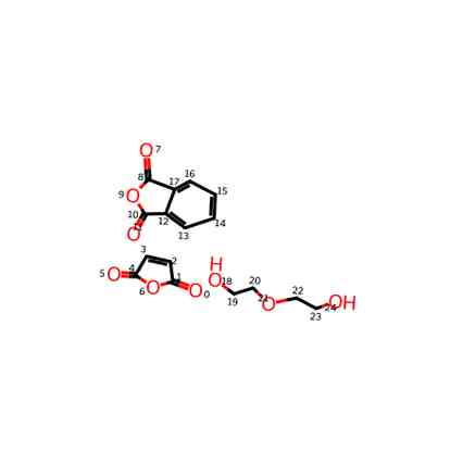 O=C1C=CC(=O)O1.O=C1OC(=O)c2ccccc21.OCCOCCO